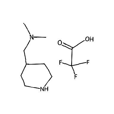 CN(C)CC1CCNCC1.O=C(O)C(F)(F)F